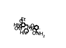 CCOc1cc(CN(c2nc3c(C(N)=O)[c]ccc3o2)C2CCNCC2)cc2oc(=O)[nH]c12